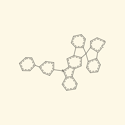 c1ccc(-c2ccc(-n3c4ccccc4c4cc5c(cc43)-c3ccccc3C53c4ccccc4-c4ccccc43)cc2)cc1